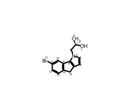 C[C@@H](O)Cn1ccc2c1-c1cc(Br)ccc1C2